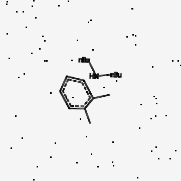 CCCCNCCCC.Cc1ccccc1C